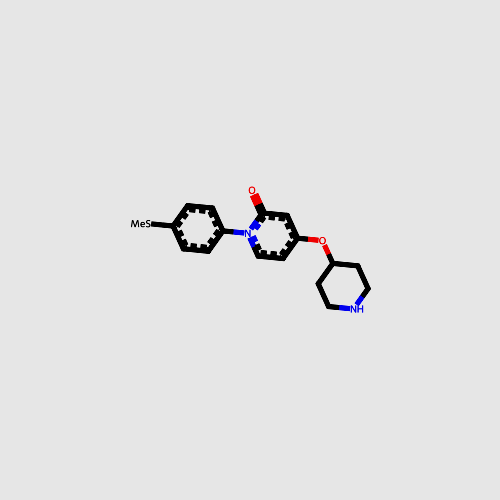 CSc1ccc(-n2ccc(OC3CCNCC3)cc2=O)cc1